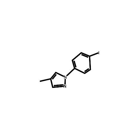 Cc1cnn(-c2ccc(I)cc2)c1